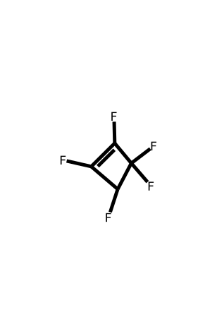 FC1=C(F)C(F)(F)C1F